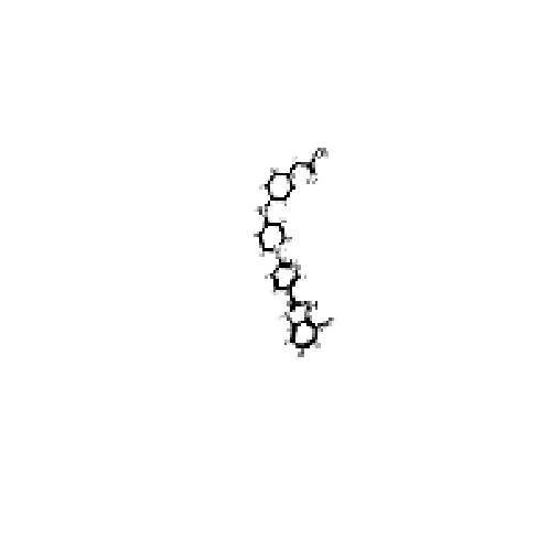 O=C(O)CC1CCC(OC2CCN(c3ccc(-c4nc5cccc(Br)c5[nH]4)cn3)CC2)CC1